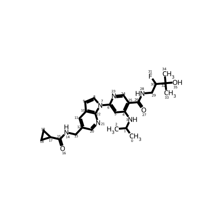 CC(C)Nc1cc(-n2ccc3cc(CNC(=O)C4CC4)cnc32)ncc1C(=O)NCC(F)C(C)(C)O